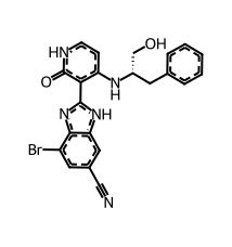 N#Cc1cc(Br)c2nc(-c3c(N[C@H](CO)Cc4ccccc4)cc[nH]c3=O)[nH]c2c1